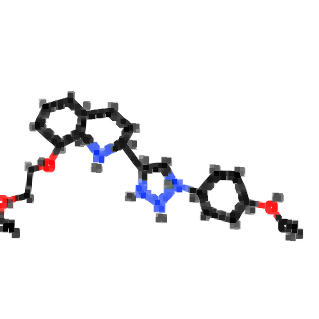 COCCOc1cccc2ccc(-c3cn(-c4ccc(OC)cc4)nn3)nc12